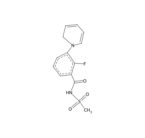 CS(=O)(=O)NC(=O)c1cccc(N2C=CC=CC2)c1F